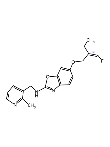 CC/C(=C/F)COc1ccc2nc(NCc3cccnc3C)oc2c1